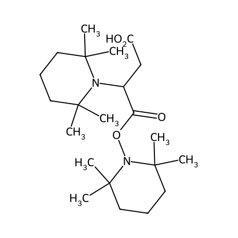 CC1(C)CCCC(C)(C)N1OC(=O)C(CC(=O)O)N1C(C)(C)CCCC1(C)C